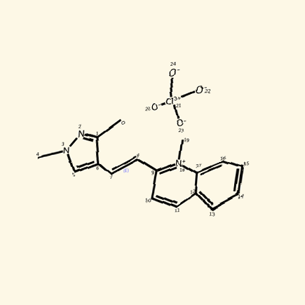 Cc1nn(C)cc1/C=C/c1ccc2ccccc2[n+]1C.[O-][Cl+3]([O-])([O-])[O-]